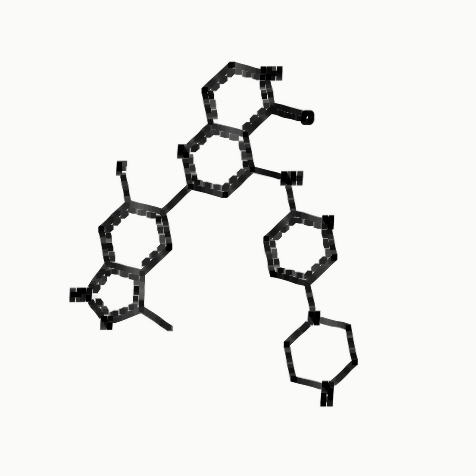 Cc1n[nH]c2cc(F)c(-c3cc(Nc4ccc(N5CCNCC5)cn4)c4c(=O)[nH]ccc4n3)cc12